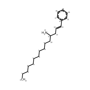 CCCCCCCCCCCC(N)CC=Cc1ccccc1